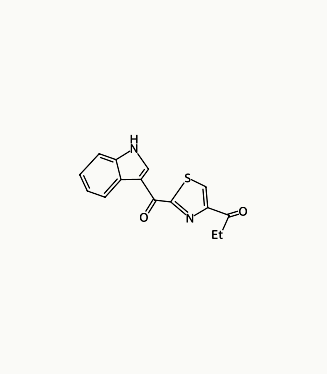 CCC(=O)c1csc(C(=O)c2c[nH]c3ccccc23)n1